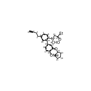 C#CCCc1ccc(N(C=O)CC(=O)CC)c(-c2ccc(OC)c(OC3CCCC3)c2)c1